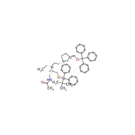 CC[C@H](CC[C@@H]1CC[C@@H](COC(c2ccccc2)(c2ccccc2)c2ccccc2)C1)[C@@H](CNC(C)=O)CO[Si](c1ccccc1)(c1ccccc1)C(C)(C)C